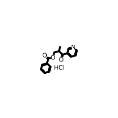 CC(COC(=O)c1ccccc1)C(=O)c1cccnc1.Cl